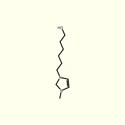 CN1C=CN(CCCCCCO)C1